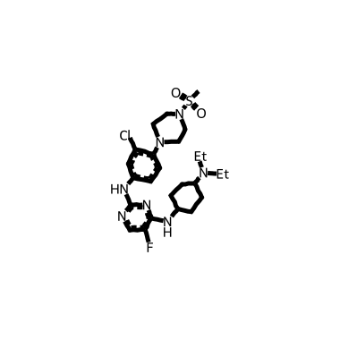 CCN(CC)C1CCC(Nc2nc(Nc3ccc(N4CCN(S(C)(=O)=O)CC4)c(Cl)c3)ncc2F)CC1